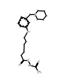 CC(=O)NOC(=O)CCCCCOc1cccc(CN2CCCCC2)c1